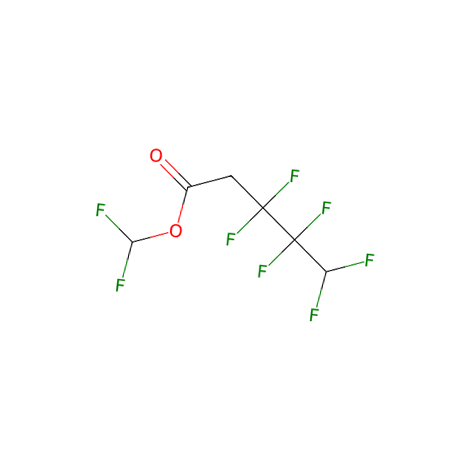 O=C(CC(F)(F)C(F)(F)C(F)F)OC(F)F